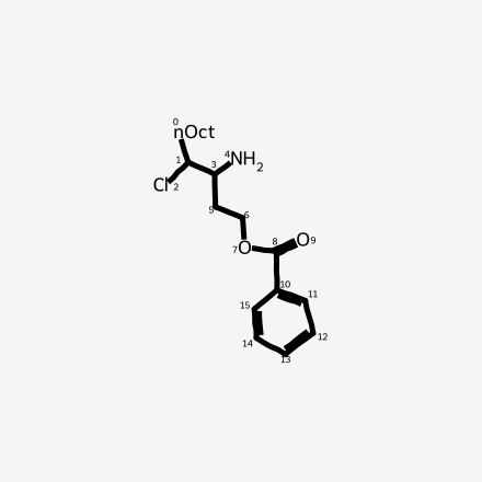 CCCCCCCCC(Cl)C(N)CCOC(=O)c1ccccc1